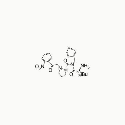 CC[C@H](C)[C@H](N)C(=O)N(Cc1ccccc1)C(=O)[C@@H]1CCCN1CC(=O)c1ccccc1[N+](=O)[O-]